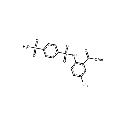 COC(=O)c1cc(C(F)(F)F)ccc1NS(=O)(=O)c1ccc(S(C)(=O)=O)cc1